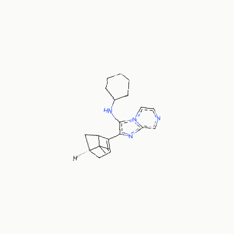 CC1(C)C2C[C@@H]1CC=C2c1nc2cnccn2c1NC1CCCCC1